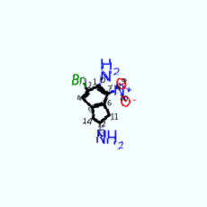 Nc1c(Br)cc2c(c1[N+](=O)[O-])C[C@H](N)C2